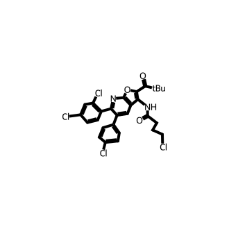 CC(C)(C)C(=O)c1oc2nc(-c3ccc(Cl)cc3Cl)c(-c3ccc(Cl)cc3)cc2c1NC(=O)CCCCl